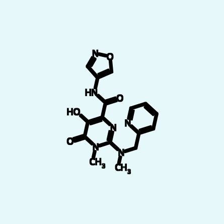 CN(Cc1ccccn1)c1nc(C(=O)Nc2cnoc2)c(O)c(=O)n1C